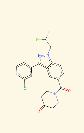 O=C1CCN(C(=O)c2ccc3c(c2)c(-c2cccc(Cl)c2)nn3CC(F)F)CC1